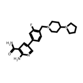 NC(=O)c1cc(-c2ccc(CN3CCC(N4CCCC4)CC3)c(F)c2)cnc1N